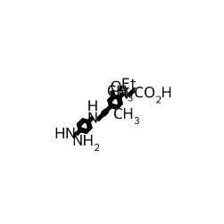 CCC(=O)N(CCC(=O)O)c1cc(C)c(C#CCNc2ccc(C(=N)N)cc2)cc1C